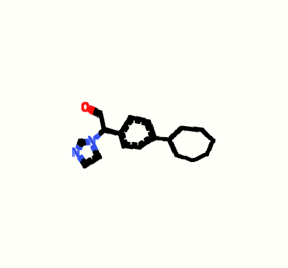 O=CC(c1ccc(C2CCCCCC2)cc1)n1ccnc1